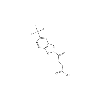 O=C(O)CCC(=O)c1cc2cc(C(F)(F)F)ccc2o1